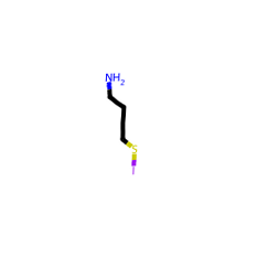 NCCCSI